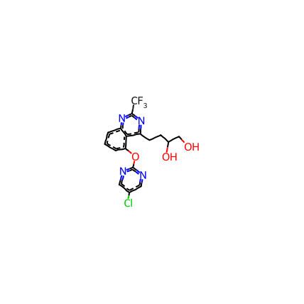 OCC(O)CCc1nc(C(F)(F)F)nc2cccc(Oc3ncc(Cl)cn3)c12